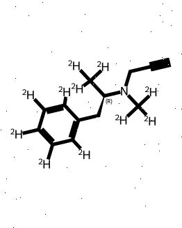 [2H]c1c([2H])c([2H])c(C[C@H](N(CC#C)C([2H])([2H])[2H])C([2H])([2H])[2H])c([2H])c1[2H]